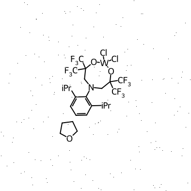 C1CCOC1.CC(C)c1cccc(C(C)C)c1N1CC(C(F)(F)F)(C(F)(F)F)[O][W]([Cl])([Cl])[O]C(C(F)(F)F)(C(F)(F)F)C1